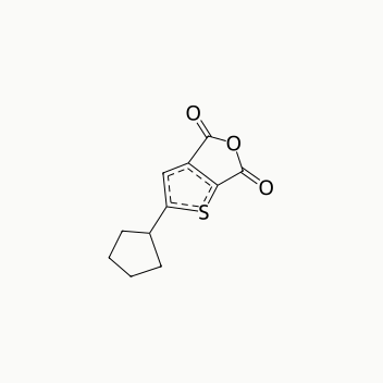 O=C1OC(=O)c2sc(C3CCCC3)cc21